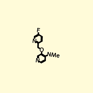 CNc1ccncc1OCc1ccc(F)cn1